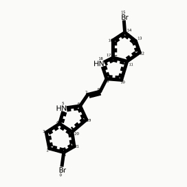 Brc1ccc2[nH]c(/C=C/c3cc4ccc(Br)cc4[nH]3)cc2c1